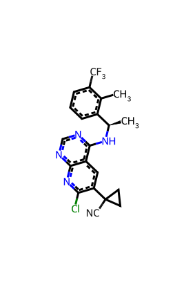 Cc1c([C@@H](C)Nc2ncnc3nc(Cl)c(C4(C#N)CC4)cc23)cccc1C(F)(F)F